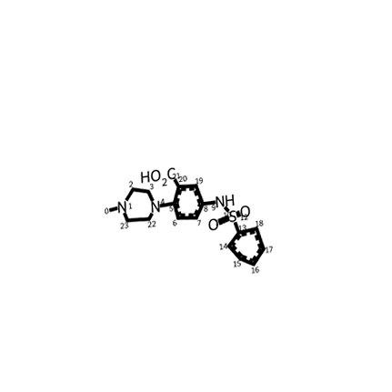 CN1CCN(c2ccc(NS(=O)(=O)c3ccccc3)cc2C(=O)O)CC1